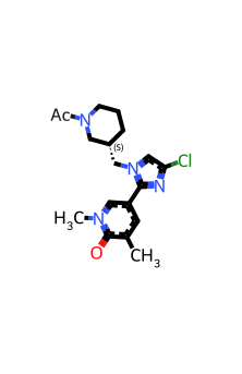 CC(=O)N1CCC[C@H](Cn2cc(Cl)nc2-c2cc(C)c(=O)n(C)c2)C1